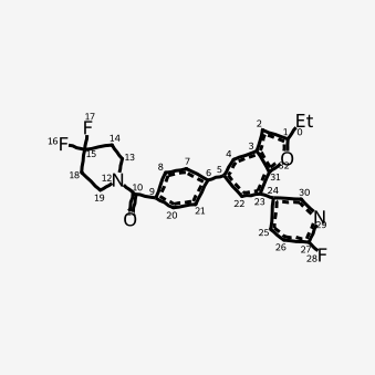 CCc1cc2cc(-c3ccc(C(=O)N4CCC(F)(F)CC4)cc3)cc(-c3ccc(F)nc3)c2o1